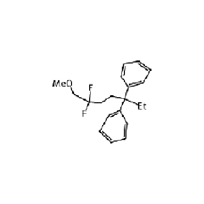 CCC(CCC(F)(F)COC)(c1ccccc1)c1ccccc1